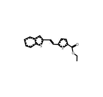 CCOC(=O)c1ccc(/C=C/c2cc3ccccc3s2)s1